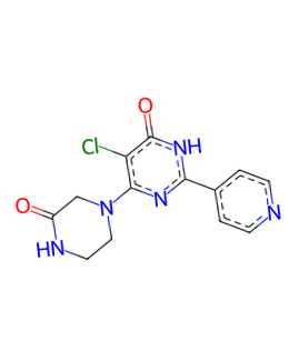 O=C1CN(c2nc(-c3ccncc3)[nH]c(=O)c2Cl)CCN1